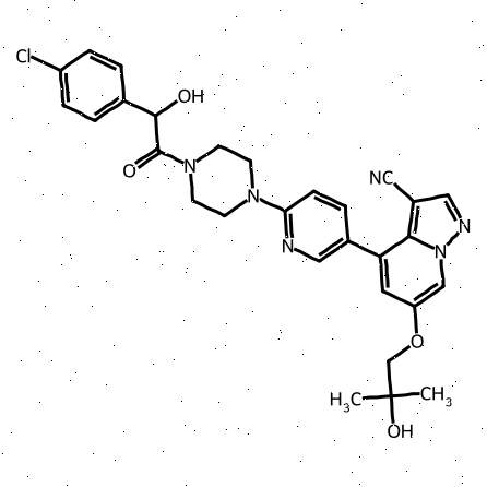 CC(C)(O)COc1cc(-c2ccc(N3CCN(C(=O)C(O)c4ccc(Cl)cc4)CC3)nc2)c2c(C#N)cnn2c1